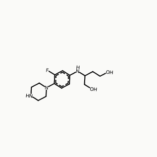 OCCC(CO)Nc1ccc(N2CCNCC2)c(F)c1